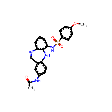 COc1ccc(S(=O)(=O)Nc2cccc3c2Nc2ccc(NC(C)=O)cc2CN3)cc1